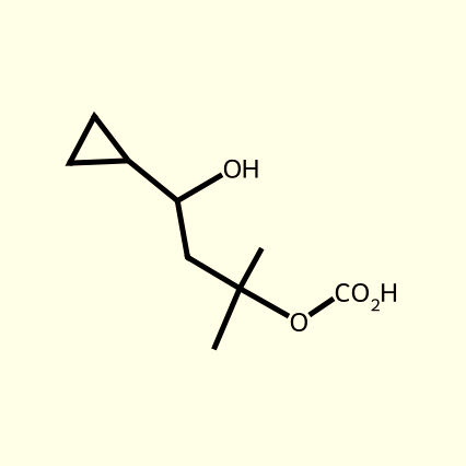 CC(C)(CC(O)C1CC1)OC(=O)O